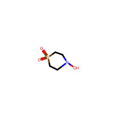 O=S1(=O)CCN(O)CC1